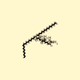 CCCCCCCC/C=C\CCCCCCCCN(CCCCCCCCCCCCCCCC)C(=O)C(N)CNC(=O)C(N)CCCN(C)C(=N)N